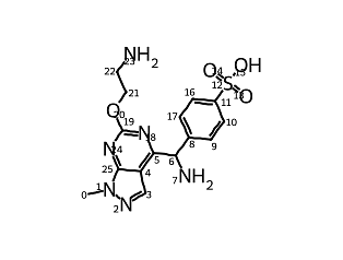 Cn1ncc2c(C(N)c3ccc(S(=O)(=O)O)cc3)nc(OCCN)nc21